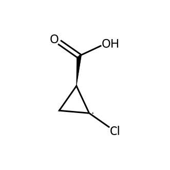 O=C(O)[C@@H]1C[C]1Cl